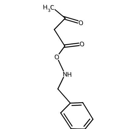 CC(=O)CC(=O)ONCc1ccccc1